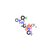 Cc1cc(S(=O)(=O)N(OC(=O)C(F)(F)F)c2cccc(F)n2)sc1NCc1c(F)cccc1CN1CCCC1